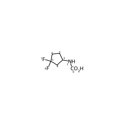 O=C(O)NC1CCC(F)(F)C1